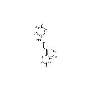 c1cc(CCNc2ccncn2)c2ccncc2c1